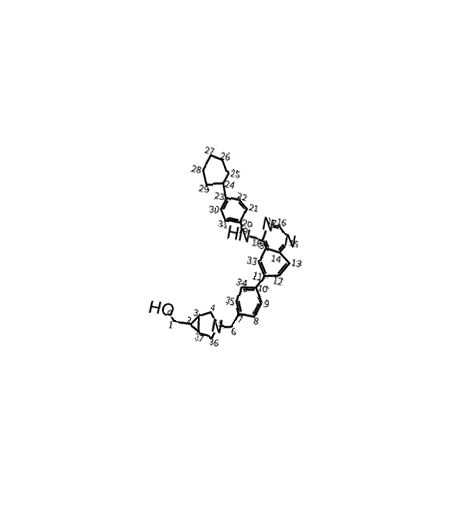 OCC1C2CN(Cc3ccc(-c4ccc5ncnc(Nc6ccc(C7CCCCC7)cc6)c5c4)cc3)CC12